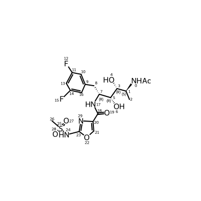 CC(=O)N[C@@H](C)[C@@H](O)[C@H](O)[C@@H](Cc1cc(F)cc(F)c1)NC(=O)c1coc(NS(C)(=O)=O)n1